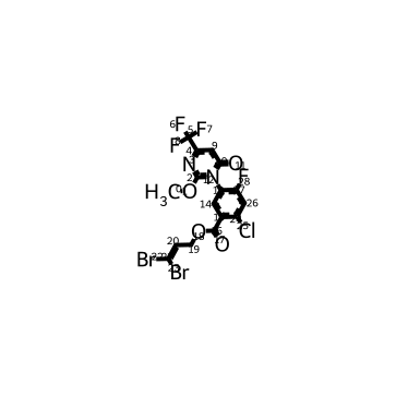 COc1nc(C(F)(F)F)cc(=O)n1-c1cc(C(=O)OCC=C(Br)Br)c(Cl)cc1F